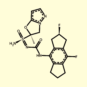 C[C@@]1([S@@](N)(=O)=NC(=O)Nc2c3c(c(F)c4c2C[C@@H](F)C4)CCC3)Cn2nccc2O1